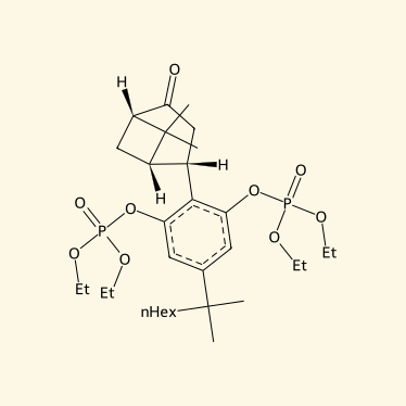 CCCCCCC(C)(C)c1cc(OP(=O)(OCC)OCC)c([C@H]2CC(=O)[C@H]3C[C@@H]2C3(C)C)c(OP(=O)(OCC)OCC)c1